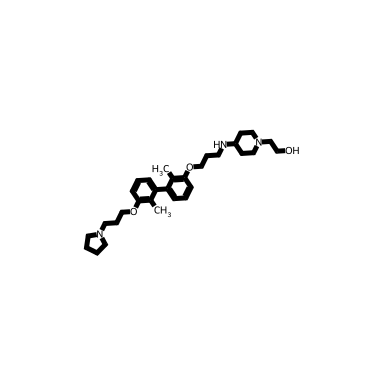 Cc1c(OCCCNC2CCN(CCO)CC2)cccc1-c1cccc(OCCCN2CCCC2)c1C